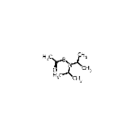 CC(=O)[B]N(C(C)C)C(C)C